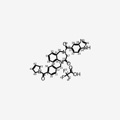 O=C(O)C(F)(F)F.O=C(c1ccc(CN2C(=O)CN(C(=O)c3ccc4[nH]cnc4c3)Cc3ccccc32)cc1)N1CC=CC1